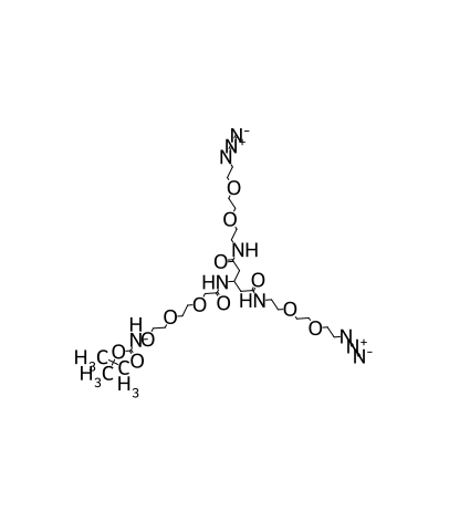 CC(C)(C)OC(=O)NOCCOCCOCC(=O)NC(CC(=O)NCCOCCOCCN=[N+]=[N-])CC(=O)NCCOCCOCCN=[N+]=[N-]